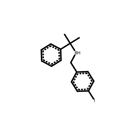 CC(C)(BCc1ccc(I)cc1)c1ccccc1